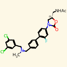 CC(=O)NC[C@H]1CN(c2ccc(-c3ccc(CN(C)Cc4cc(Cl)cc(Cl)c4)cc3)c(F)c2)C(=O)O1